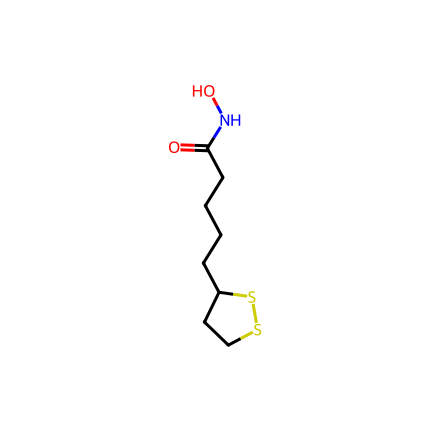 O=C(CCCCC1CCSS1)NO